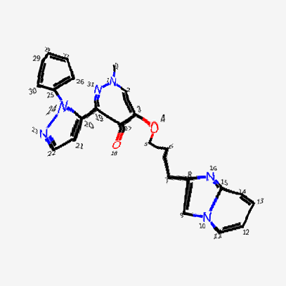 Cn1cc(OCCCc2cn3ccccc3n2)c(=O)c(-c2ccnn2-c2ccccc2)n1